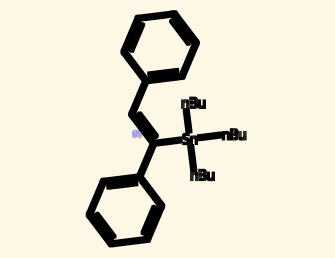 CCC[CH2][Sn]([CH2]CCC)([CH2]CCC)/[C](=C\c1ccccc1)c1ccccc1